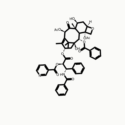 CC(=O)O[C@H]1C(=O)[C@@]2(C)C([C@H](OC(=O)c3ccccc3)[C@]3(O)C[C@H](OC(=O)[C@H](OC(=O)c4cccnc4)[C@@H](NC(=O)c4ccccc4)c4ccccc4)C(C)=C1C3(C)C)[C@]1(OC(C)=O)CO[C@@H]1C[C@@H]2O